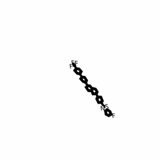 Fc1ccc2nc(-c3ccc(-c4ccc5cc(-c6ccc(-c7ccc(C(F)(F)F)cc7)cc6)ccc5c4)cc3)sc2c1